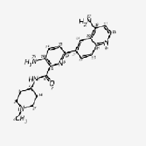 CN1CCC(NC(=O)c2nc(-c3ccc4nccc(N)c4c3)ccc2N)CC1